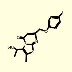 Cc1sc2nc(COc3ccc(F)cc3)cc(=O)n2c1C(C)O